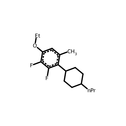 CCCC1CCC(c2c(C)cc(OCC)c(F)c2F)CC1